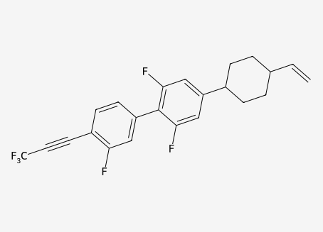 C=CC1CCC(c2cc(F)c(-c3ccc(C#CC(F)(F)F)c(F)c3)c(F)c2)CC1